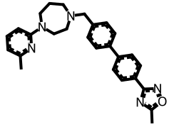 Cc1cccc(N2CCCN(Cc3ccc(-c4ccc(-c5noc(C)n5)cc4)cc3)CC2)n1